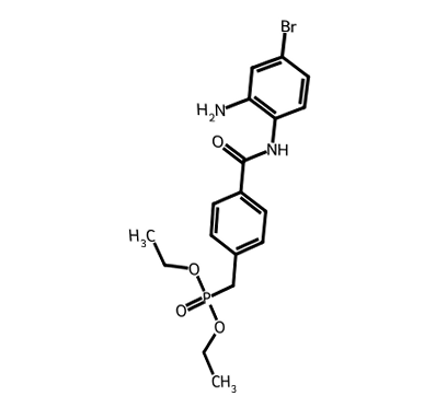 CCOP(=O)(Cc1ccc(C(=O)Nc2ccc(Br)cc2N)cc1)OCC